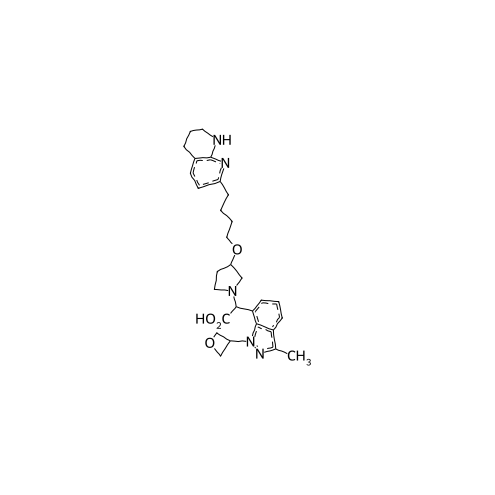 Cc1nn(C2COC2)c2c(C(C(=O)O)N3CCC(OCCCCc4ccc5c(n4)NCCC5)C3)cccc12